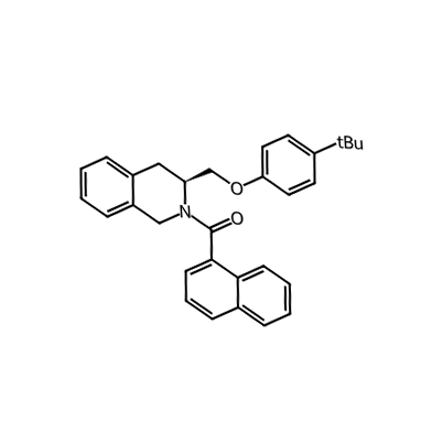 CC(C)(C)c1ccc(OC[C@@H]2Cc3ccccc3CN2C(=O)c2cccc3ccccc23)cc1